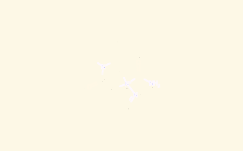 CN(CC(F)(F)F)C(=O)C1=[C]C=N[N+]1(C)C(N)=O